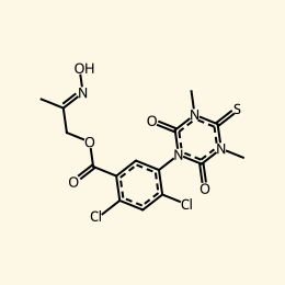 CC(COC(=O)c1cc(-n2c(=O)n(C)c(=S)n(C)c2=O)c(Cl)cc1Cl)=NO